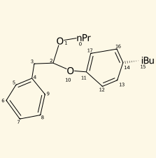 CCCOC(Cc1ccccc1)Oc1ccc([C@@H](C)CC)cc1